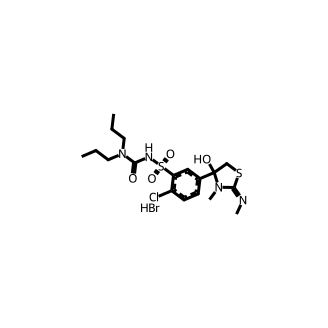 Br.CCCN(CCC)C(=O)NS(=O)(=O)c1cc(C2(O)CSC(=NC)N2C)ccc1Cl